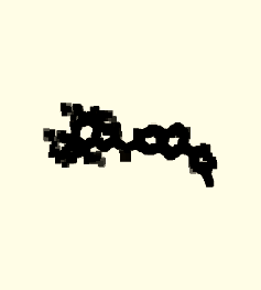 BC1(B)OC(B)(B)C(B)(B)N(CC(=O)Nc2cc3cc(-c4nnc(C)s4)ncc3cn2)C1(B)B